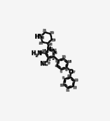 N#Cc1c(-c2ccc(Oc3ccccc3)cc2)nn(C2CCCNC2)c1N